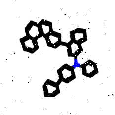 c1ccc(-c2ccc(N(c3ccccc3)c3cc(-c4ccc5c(ccc6ccc7ccccc7c65)c4)c4ccccc4c3)cc2)cc1